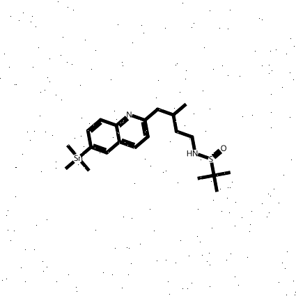 CC(CCNS(=O)C(C)(C)C)Cc1ccc2c[c]([Sn]([CH3])([CH3])[CH3])ccc2n1